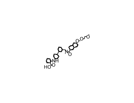 COCCOCOc1ccc2cc(C(=O)N(C)Cc3cccc(-c4ccc(Nc5ccccc5C(=O)O)cc4)c3)ccc2c1